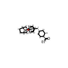 CCC(=O)[C@H]1CC[C@H](Cc2cnc(N3C4CCC3CN(C(C)C)C4)nc2)CC1